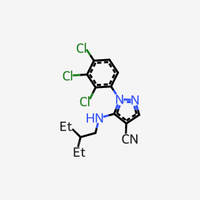 CCC(CC)CNc1c(C#N)cnn1-c1ccc(Cl)c(Cl)c1Cl